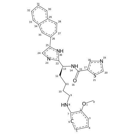 COc1ccccc1NCCCC[C@H](NC(=O)c1cncs1)c1ncc(-c2ccc3ccccc3c2)[nH]1